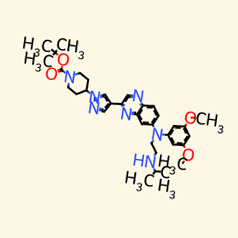 COc1cc(OC)cc(N(CCNC(C)C)c2ccc3ncc(-c4cnn(C5CCN(C(=O)OC(C)(C)C)CC5)c4)nc3c2)c1